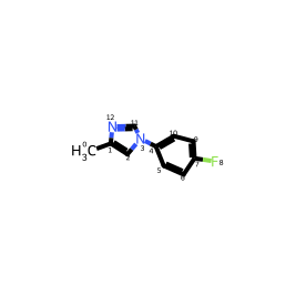 Cc1cn(-c2ccc(F)cc2)cn1